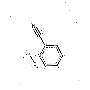 N#Cc1ccccn1.[Na][Cl]